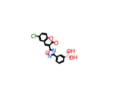 O=c1oc2ccc(Cl)cc2cc1-c1nc(-c2cccc(B(O)O)c2)no1